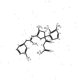 CC1=C(/N=C(\C)Cc2cccc(C(F)(F)F)c2)CC(C(=O)CC(N)=O)(c2cccc(C)c2C)C1